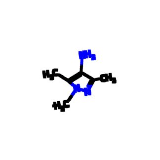 [CH2]n1nc(C)c(N)c1C